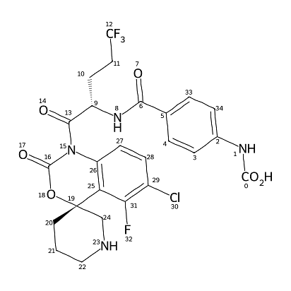 O=C(O)Nc1ccc(C(=O)N[C@@H](CCC(F)(F)F)C(=O)N2C(=O)O[C@]3(CCCNC3)c3c2ccc(Cl)c3F)cc1